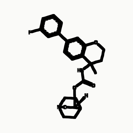 CC1(NC(=O)O[C@H]2CN3CCC2CC3)CCOc2cc(-c3cccc(F)c3)ccc21